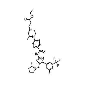 CCOC(=O)CCN1CCN(c2cnc(C(=O)Nc3nc(-c4cc(F)cc(C(F)(F)F)c4)c(CN4CCC[C@H]4C)s3)cn2)[C@@H](C)C1